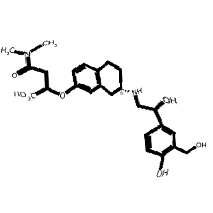 CN(C)C(=O)CC(Oc1ccc2c(c1)C[C@@H](NCC(O)c1ccc(O)c(CO)c1)CC2)C(=O)O